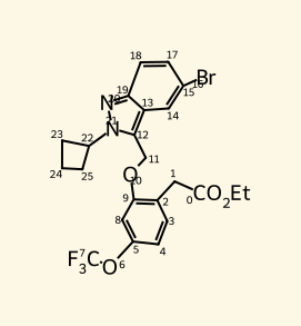 CCOC(=O)Cc1ccc(OC(F)(F)F)cc1OCc1c2cc(Br)ccc2nn1C1CCC1